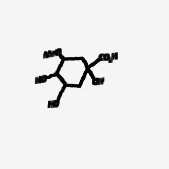 COC1CC(O)(C(=O)O)CC(O)C1O